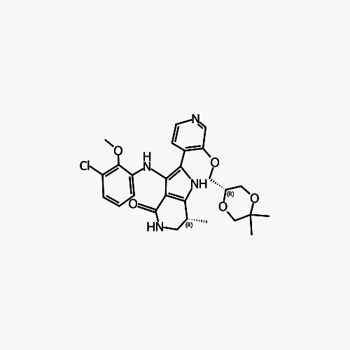 COc1c(Cl)cccc1Nc1c(-c2ccncc2OC[C@@H]2COC(C)(C)CO2)[nH]c2c1C(=O)NC[C@H]2C